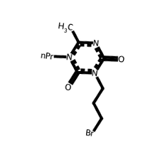 CCCn1c(C)nc(=O)n(CCCBr)c1=O